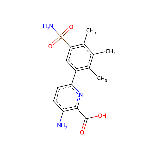 Cc1c(-c2ccc(N)c(C(=O)O)n2)cc(S(N)(=O)=O)c(C)c1C